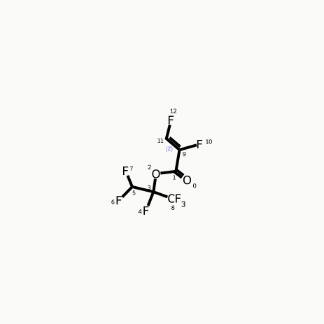 O=C(OC(F)(C(F)F)C(F)(F)F)/C(F)=C/F